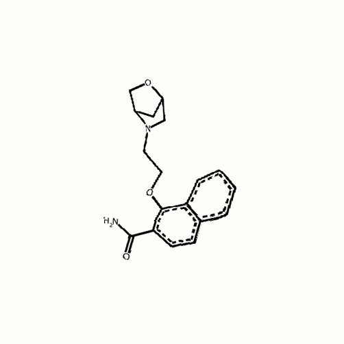 NC(=O)c1ccc2ccccc2c1OCCN1CC2CC1CO2